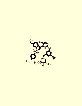 Cc1ccc(S(=O)(=O)n2cc(-c3nc(Nc4cc(CN5C[C@@H](C)N[C@@H](C)C5)cc(C5CC5)c4)ncc3Cl)c3ccc(CO)cc32)cc1